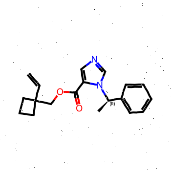 C=CC1(COC(=O)c2cncn2[C@H](C)c2ccccc2)CCC1